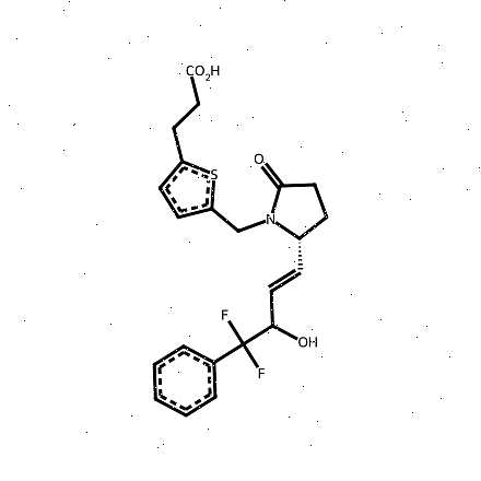 O=C(O)CCc1ccc(CN2C(=O)CC[C@@H]2C=CC(O)C(F)(F)c2ccccc2)s1